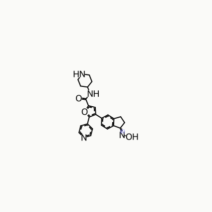 O=C(NC1CCNCC1)c1cc(-c2ccc3c(c2)CC/C3=N\O)c(-c2ccncc2)o1